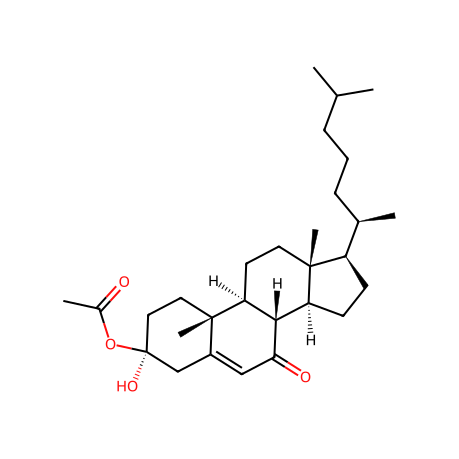 CC(=O)O[C@@]1(O)CC[C@@]2(C)C(=CC(=O)[C@H]3[C@@H]4CC[C@H]([C@H](C)CCCC(C)C)[C@@]4(C)CC[C@@H]32)C1